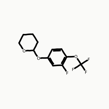 Fc1cc(OC2CCCCO2)ccc1OC(F)(F)F